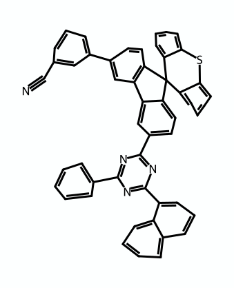 N#Cc1cccc(-c2ccc3c(c2)-c2cc(-c4nc(-c5ccccc5)nc(-c5cccc6ccccc56)n4)ccc2C32c3ccccc3Sc3ccccc32)c1